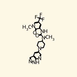 CN(C(=O)Nc1cc(C(F)(F)F)cn(C)c1=O)C1CCN(c2cnc3[nH]ncc3c2)CC1